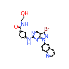 O=C(NCCO)[C@@H]1CC[C@@H](Nc2ncc3c(Br)nn(-c4ccc5ncccc5c4)c3n2)C1